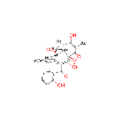 CCCCCCCC[C@@H]1c2cccc(O)c2C(=O)C2=C(O)[C@@]3(O)C(=O)C(C(C)=O)=C(O)C(C(C)C)[C@@]3(C)[C@H](O)[C@]21C